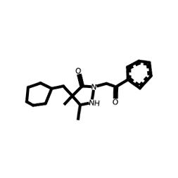 CC1NN(CC(=O)c2ccccc2)C(=O)C1(C)CC1CCCCC1